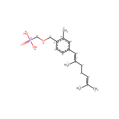 CC(C)=CCC/C(C)=C/c1ccc(COCP(=O)(O)O)c(C)c1